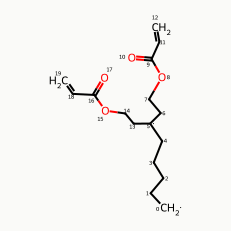 [CH2]CCCC[C](CCOC(=O)C=C)CCOC(=O)C=C